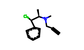 C#CCN(C)[C@H](C)[C@H](Cl)c1ccccc1